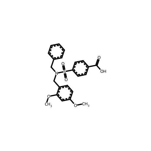 COc1ccc(CN(Cc2ccccc2)S(=O)(=O)c2ccc(C(=O)O)cc2)c(OC)c1